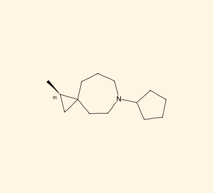 C[C@@H]1CC12CCCN(C1CCCC1)CC2